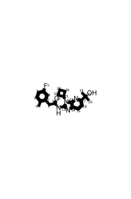 Cc1ccc(F)cc1CC(=O)Nc1nc2ccc(C(C)(C)O)nc2n1C1CCC1